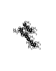 CN1C(=O)C(C)(C)c2cc(F)c(NC(=O)c3ccncc3Cl)cc21.Cc1cc(C(=O)Nc2c(F)cc3c(c2F)N(C)C(=O)C3(C)C)ccn1.Cc1cc(C(=O)Nc2c(F)cc3c(c2F)N(C)C(=O)C3(C)C)ccn1